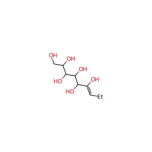 CCC=C(O)C(O)C(O)C(O)C(O)CO